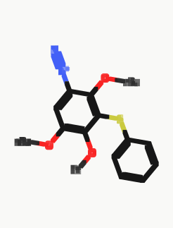 CCCCOc1cc([N+]#N)c(OCCCC)c(Sc2ccccc2)c1OCC